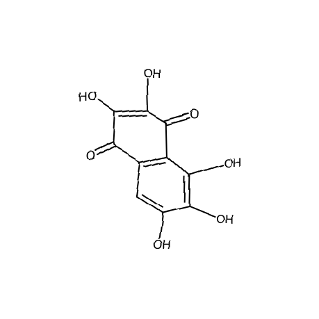 O=C1C(O)=C(O)C(=O)c2c1cc(O)c(O)c2O